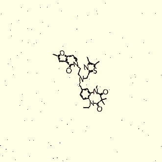 CCN1C(=O)C(C)(C)C(=O)N(C)c2cc(CN(CCn3ccc4oc(C)cc4c3=O)Cc3nc(C)c(C)s3)ccc21